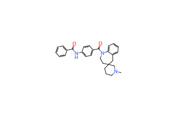 CN1CCCC2(CCN(C(=O)c3ccc(NC(=O)c4ccccc4)cc3)c3ccccc3C2)C1